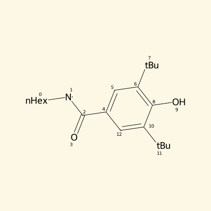 CCCCCC[N]C(=O)c1cc(C(C)(C)C)c(O)c(C(C)(C)C)c1